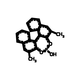 Cc1cc2ccccc2c2c1op(O)oc1c(C)cc3ccccc3c12